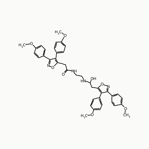 COc1ccc(-c2noc(CC(=O)NCCNC(O)Cc3onc(-c4ccc(OC)cc4)c3-c3ccc(OC)cc3)c2-c2ccc(OC)cc2)cc1